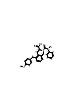 COc1ccc(Cc2cccc3c2CC(C(=O)O)N(C(=O)N(C)c2ccccc2)C3)cc1